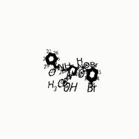 CB(O)N1C[C@H](NS(=O)(=O)c2cc(Br)ccc2Br)C[C@@H]1CNC(=O)c1ccccc1